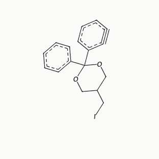 ICC1COC(c2c#cccc2)(c2ccccc2)OC1